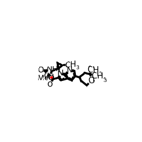 COC(=O)c1cc2cc(C3CCOC(C)(C)C3)cnc2n1C1(c2noc(=O)[nH]2)CC1C